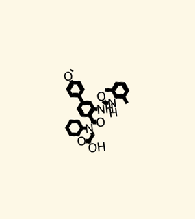 COc1ccc(-c2ccc(C(=O)N(CC(=O)O)C3CCCCC3)c(NC(=O)Nc3c(C)cccc3C)c2)cc1